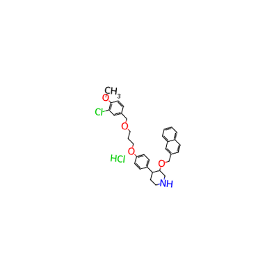 COc1ccc(COCCCOc2ccc(C3CCNCC3OCc3ccc4ccccc4c3)cc2)cc1Cl.Cl